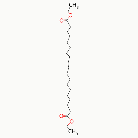 CCOC(=O)CCCCCCCCCCCCCCCCCC(=O)OCC